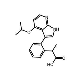 CC(C)Oc1ccnc2[nH]cc(-c3ccccc3C(C)C(=O)O)c12